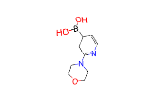 OB(O)C1C=CN=C(N2CCOCC2)C1